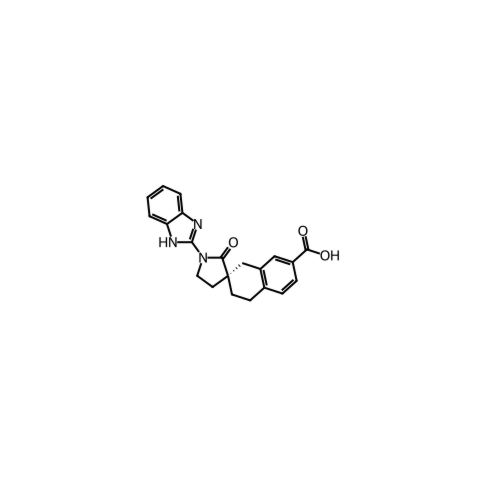 O=C(O)c1ccc2c(c1)C[C@]1(CC2)CCN(c2nc3ccccc3[nH]2)C1=O